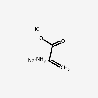 C=CC(=O)[O-].Cl.N.[Na+]